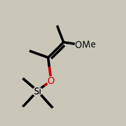 COC(C)=C(C)O[Si](C)(C)C